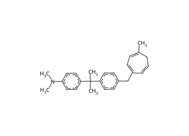 CC1=CC=C(Cc2ccc(C(C)(C)c3ccc(N(C)C)cc3)cc2)C=CC1